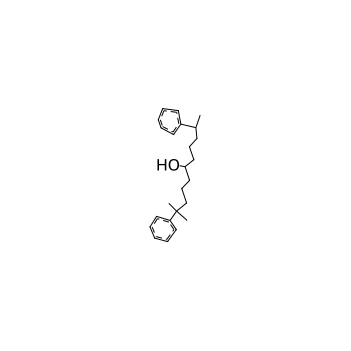 CC(CCCC(O)CCCC(C)(C)c1ccccc1)c1ccccc1